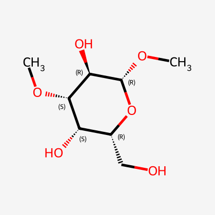 CO[C@@H]1O[C@H](CO)[C@H](O)[C@H](OC)[C@H]1O